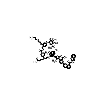 Cc1c(-c2ccc(N3CCc4cccc(C(=O)Nc5nc6ccccc6s5)c4C3)nc2C(=O)O)cnn1CC12CC3(C)CC(C)(C1)CC(OCCN(CCCC(=O)O)C1CCN(C(=O)OCc4ccc(O[C@@H]5O[C@H](C(=O)O)[C@@H](O)[C@H](O)[C@H]5O)cc4OCCOCCN)CC1)(C3)C2